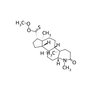 COOC(=S)[C@H]1CC[C@H]2[C@@H]3CC[C@H]4N(C)C(=O)CC[C@]4(C)[C@H]3CC[C@]12C